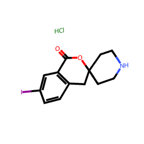 Cl.O=C1OC2(CCNCC2)Cc2ccc(I)cc21